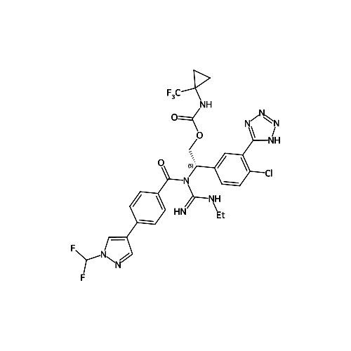 CCNC(=N)N(C(=O)c1ccc(-c2cnn(C(F)F)c2)cc1)[C@H](COC(=O)NC1(C(F)(F)F)CC1)c1ccc(Cl)c(-c2nnn[nH]2)c1